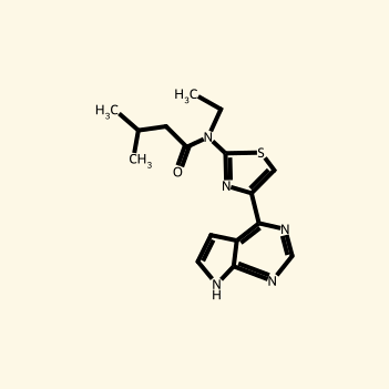 CCN(C(=O)CC(C)C)c1nc(-c2ncnc3[nH]ccc23)cs1